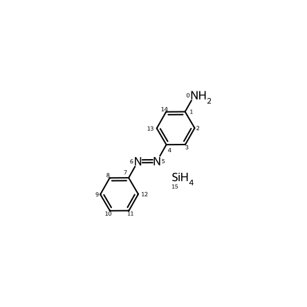 Nc1ccc(N=Nc2ccccc2)cc1.[SiH4]